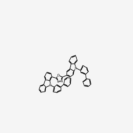 c1ccc(-c2cccc(-n3c4ccccc4c4cc(-c5nnc(-c6cccc7c8ccccc8n(-c8cccc(-c9ccccc9)c8)c67)o5)ccc43)c2)cc1